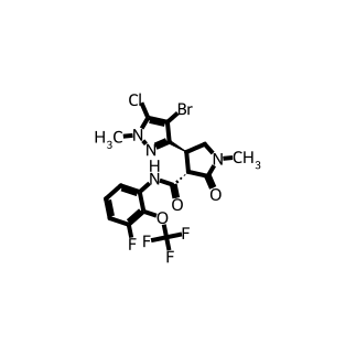 CN1C[C@H](c2nn(C)c(Cl)c2Br)[C@@H](C(=O)Nc2cccc(F)c2OC(F)(F)F)C1=O